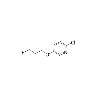 FCCCOc1ccc(Cl)nc1